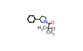 CCC(C)(C)C(=O)N1CCC(c2ccccc2)C1